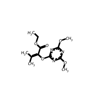 CCOC(=O)C(Oc1nc(OC)nc(OC)n1)=C(C)C